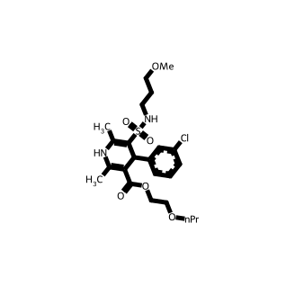 CCCOCCOC(=O)C1=C(C)NC(C)=C(S(=O)(=O)NCCCOC)C1c1cccc(Cl)c1